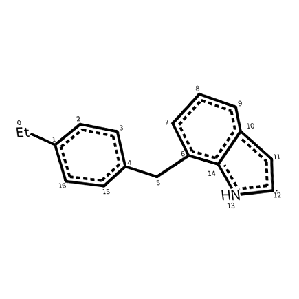 CCc1ccc(Cc2cccc3c[c][nH]c23)cc1